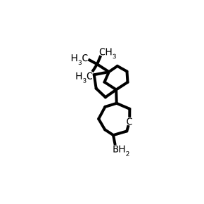 BC1CCCC(C23CCCC(C(C)(C)C)(CCC2)C3)CCC1